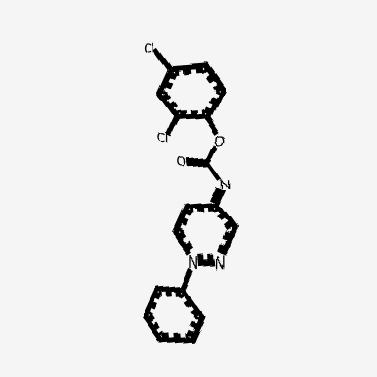 O=C(/N=c1\ccn(-c2ccccc2)nc1)Oc1ccc(Cl)cc1Cl